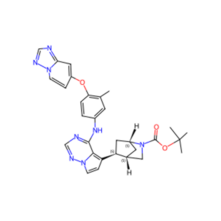 Cc1cc(Nc2ncnn3ccc([C@H]4C[C@H]5C[C@@H]4CN5C(=O)OC(C)(C)C)c23)ccc1Oc1ccn2ncnc2c1